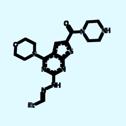 CC/C=N/Nc1nc(N2CCOCC2)c2cc(C(=O)N3CCNCC3)sc2n1